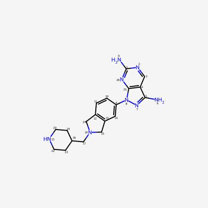 Nc1ncc2c(N)nn(-c3ccc4c(c3)CN(CC3CCNCC3)C4)c2n1